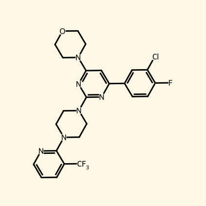 Fc1ccc(-c2cc(N3CCOCC3)nc(N3CCN(c4ncccc4C(F)(F)F)CC3)n2)cc1Cl